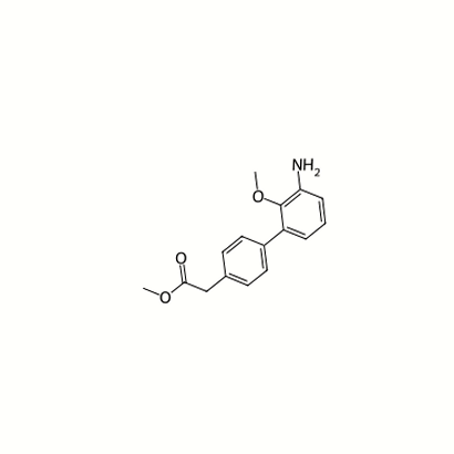 COC(=O)Cc1ccc(-c2cccc(N)c2OC)cc1